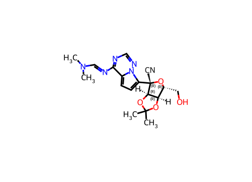 CN(C)C=Nc1ncnn2c([C@]3(C#N)O[C@H](CO)[C@H]4OC(C)(C)O[C@H]43)ccc12